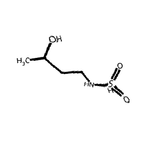 CC(O)CCN[SH](=O)=O